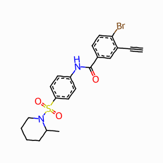 C#Cc1cc(C(=O)Nc2ccc(S(=O)(=O)N3CCCCC3C)cc2)ccc1Br